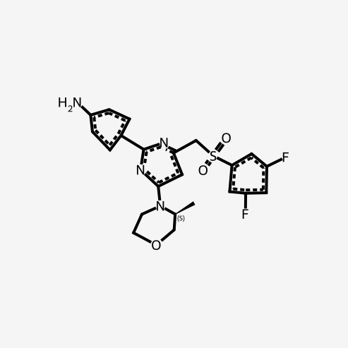 C[C@H]1COCCN1c1cc(CS(=O)(=O)c2cc(F)cc(F)c2)nc(-c2ccc(N)cc2)n1